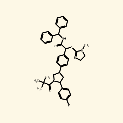 CN1CCN=C1SC(C(=O)NC(c1ccccc1)c1ccccc1)c1ccc(C2CC(c3ccc(F)cc3)N(C(=O)C(C)(C)C)C2)cc1